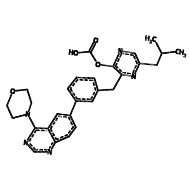 CC(C)Cc1cnc(OC(=O)O)c(Cc2cccc(-c3ccc4ncnc(N5CCOCC5)c4c3)c2)n1